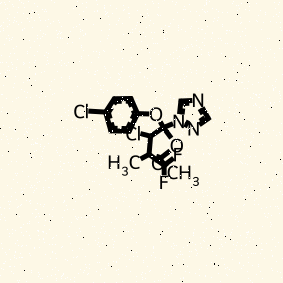 CC(=O)OC(Oc1ccc(Cl)cc1)(C(Cl)C(C)C(F)F)n1cncn1